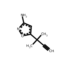 C#CC(C)(C)c1cc(N)no1